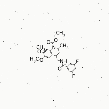 CCOC(=O)N1c2cc(OC)c(OC)cc2C(CNC(=O)c2cc(F)cc(F)c2)CC1C